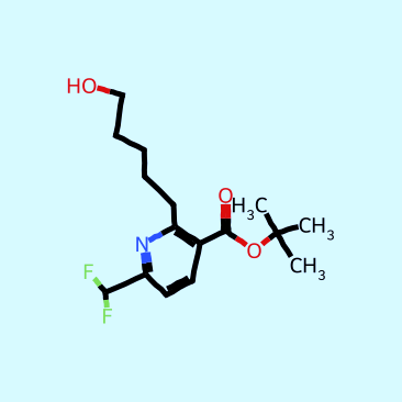 CC(C)(C)OC(=O)c1ccc(C(F)F)nc1CCCCCO